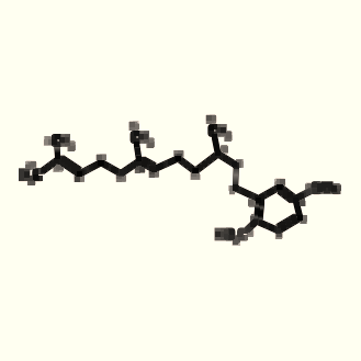 COc1ccc(C(=O)O)c(CCC(C)CC/C=C(\C)CCC=C(C)C)c1